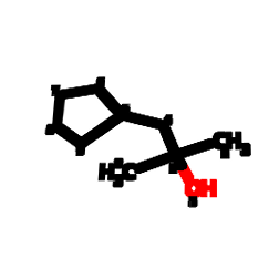 CC(C)(O)CC1CCCC1